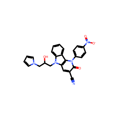 N#Cc1cc2c(c3ccccc3n2CC(O)Cn2cccc2)n(-c2ccc([N+](=O)[O-])cc2)c1=O